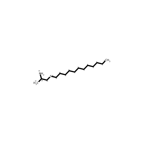 CCCCCCCCCCCCSCC(C)N